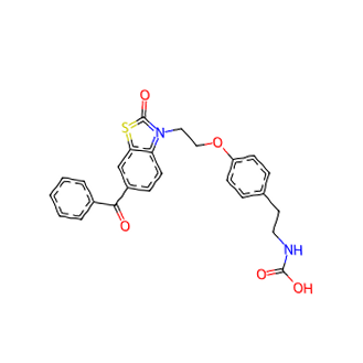 O=C(O)NCCc1ccc(OCCn2c(=O)sc3cc(C(=O)c4ccccc4)ccc32)cc1